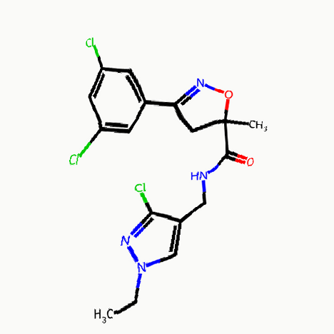 CCn1cc(CNC(=O)C2(C)CC(c3cc(Cl)cc(Cl)c3)=NO2)c(Cl)n1